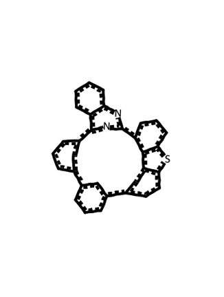 c1cc2cc(c1)c1ccc3sc4cccc(c5nc6ccccc6c(n5)c5cccc2c5)c4c3c1